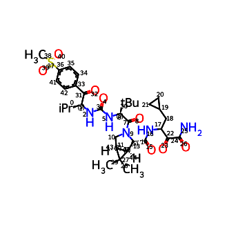 CC(C)[C@H](NC(=O)N[C@H](C(=O)N1C[C@H]2[C@@H]([C@H]1C(=O)NC(CC1CC1)C(=O)C(N)=O)C2(C)C)C(C)(C)C)C(=O)c1ccc(S(C)(=O)=O)cc1